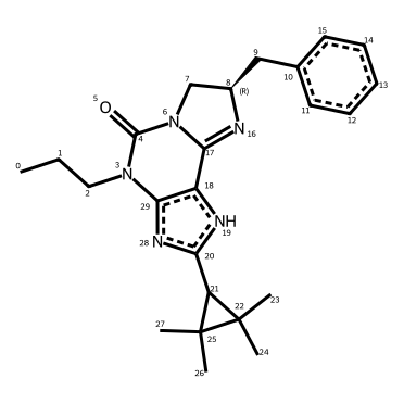 CCCN1C(=O)N2C[C@@H](Cc3ccccc3)N=C2c2[nH]c(C3C(C)(C)C3(C)C)nc21